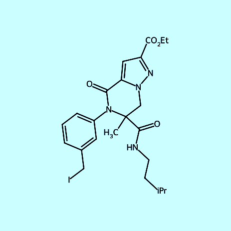 CCOC(=O)c1cc2n(n1)CC(C)(C(=O)NCCC(C)C)N(c1cccc(CI)c1)C2=O